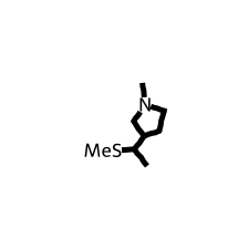 CSC(C)C1CCN(C)C1